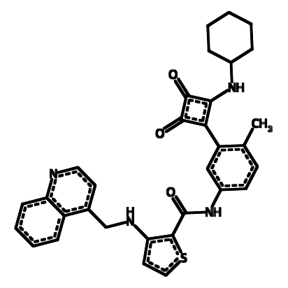 Cc1ccc(NC(=O)c2sccc2NCc2ccnc3ccccc23)cc1-c1c(NC2CCCCC2)c(=O)c1=O